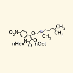 CCCCCCCCOc1c(OC/C=C(\C)CCC=C(C)C)c2ccc([N+](=O)[O-])cc2n(CCCCCC)c1=O